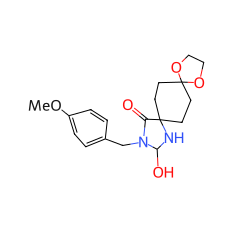 COc1ccc(CN2C(=O)C3(CCC4(CC3)OCCO4)NC2O)cc1